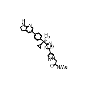 CNC(=O)Cn1cc(-c2nc([C@@](C)(c3ccc(-c4cnc5c(c4)CCN5)cc3)C3CC3)no2)cn1